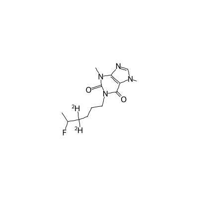 [2H]C([2H])(CCCn1c(=O)c2c(ncn2C)n(C)c1=O)C(C)F